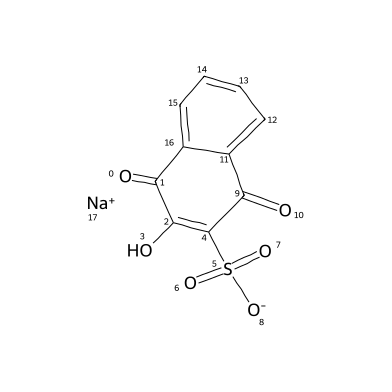 O=C1C(O)=C(S(=O)(=O)[O-])C(=O)c2ccccc21.[Na+]